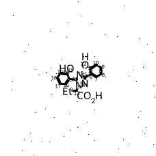 CCC(C(=O)O)n1nc(-c2ccccc2O)nc1-c1ccccc1O